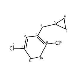 ClC1=CC(CC2CC2)=C(Cl)CC1